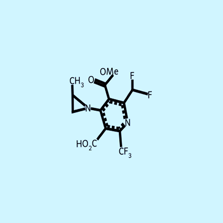 COC(=O)c1c(C(F)F)nc(C(F)(F)F)c(C(=O)O)c1N1CC1C